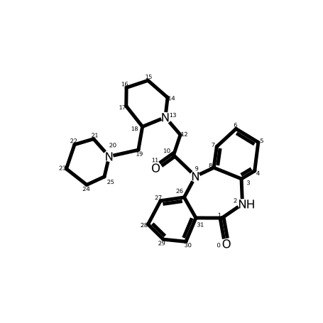 O=C1Nc2ccccc2N(C(=O)CN2CCCCC2CN2CCCCC2)c2ccccc21